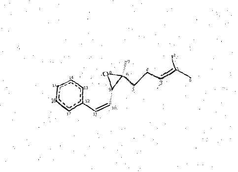 CC(C)=CCC[C@]1(C)O[C@H]1/C=C\c1ccccc1